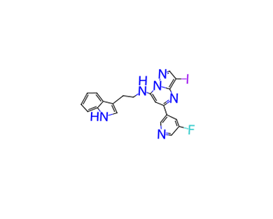 Fc1cncc(-c2cc(NCCc3c[nH]c4ccccc34)n3ncc(I)c3n2)c1